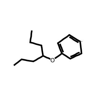 CCCC(CCC)Oc1cc[c]cc1